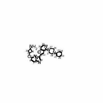 NC1CC(Oc2ccc3ncc(-c4cc5c(N6CCN(c7ccccc7)CC6)nccc5o4)n3n2)C1